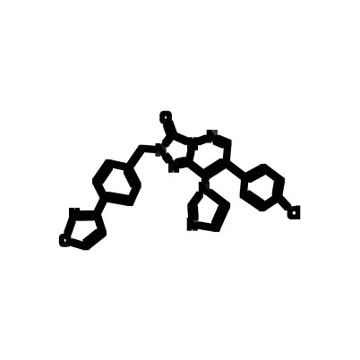 O=c1n(Cc2ccc(-c3ccon3)cc2)nc2c(-n3ccnc3)c(-c3ccc(Cl)cc3)cnn12